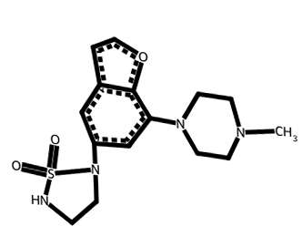 CN1CCN(c2cc(N3CCNS3(=O)=O)cc3ccoc23)CC1